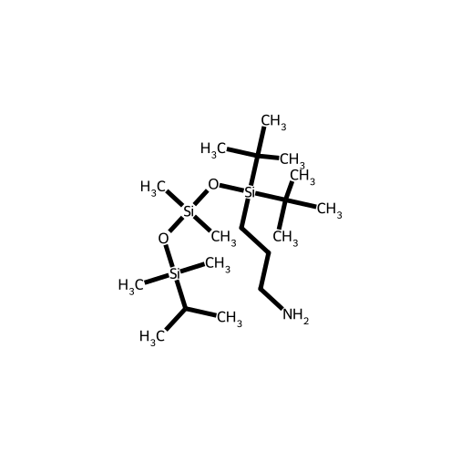 CC(C)[Si](C)(C)O[Si](C)(C)O[Si](CCCN)(C(C)(C)C)C(C)(C)C